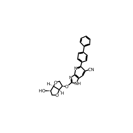 N#Cc1cc2[nH]c(O[C@@H]3CO[C@H]4[C@@H]3OC[C@H]4O)nc2nc1-c1ccc(-c2ccccc2)cc1